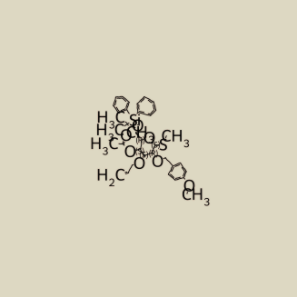 C=CCO[C@H]1[C@@H](OC(C)=O)[C@@H](CO[Si](c2ccccc2)(c2ccccc2)C(C)(C)C)O[C@@H](SC)[C@@H]1OCc1ccc(OC)cc1